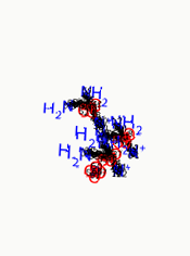 C[N+](C)(C)CCOC(=O)C(CCN)C(=O)CCCN.C[N+](C)(C)CCOC(=O)C(CCN)C(=O)CCCN.C[N+](C)(C)CCOC(=O)C(CCN)C(=O)CCCN.O=P([O-])([O-])[O-]